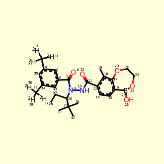 [2H]C([2H])([2H])c1cc(C(=O)N(NC(=O)c2ccc3c(c2C)OCCOB3O)C(CC)C(C)(C)C)cc(C([2H])([2H])[2H])c1